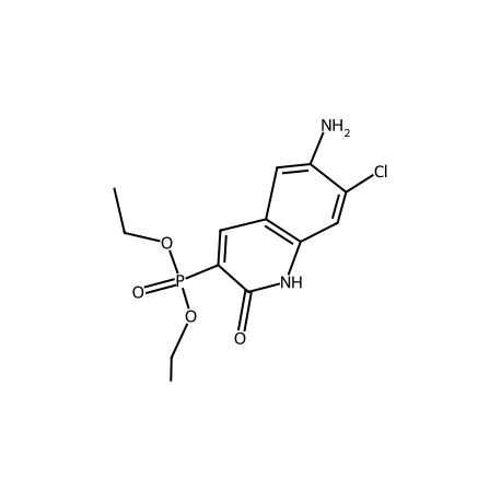 CCOP(=O)(OCC)c1cc2cc(N)c(Cl)cc2[nH]c1=O